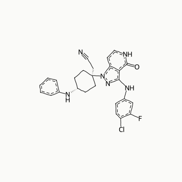 N#CC[C@]1(n2nc(Nc3ccc(Cl)c(F)c3)c3c(=O)[nH]ccc32)CC[C@H](Nc2ccccc2)CC1